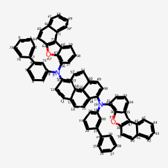 c1ccc(-c2cccc(N(c3ccc4ccc5c(N(c6cccc(-c7ccccc7)c6)c6cccc7c6oc6ccc8ccccc8c67)ccc6ccc3c4c65)c3cccc4c3oc3ccc5ccccc5c34)c2)cc1